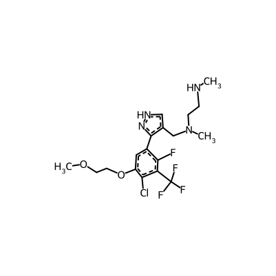 CNCCN(C)Cc1c[nH]nc1-c1cc(OCCOC)c(Cl)c(C(F)(F)F)c1F